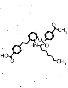 CCCCCCC(Nc1ccccc1CCc1ccc(C(=O)O)cc1)S(=O)(=O)c1ccc(C(C)=O)cc1